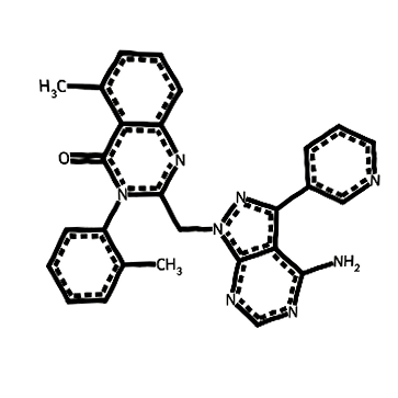 Cc1ccccc1-n1c(Cn2nc(-c3cccnc3)c3c(N)ncnc32)nc2cccc(C)c2c1=O